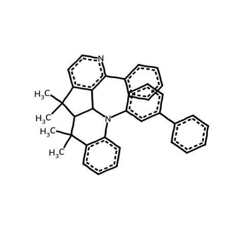 CC1(C)c2ccccc2N(c2cccc(-c3ccccc3)c2)C2c3c(ccnc3-c3ccccc3)C(C)(C)C21